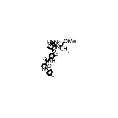 COCCC(C)(C)Nc1n[nH]c2nccc(Oc3ccc(NC(=O)c4ccnn(-c5ccc(F)cc5)c4=O)cc3F)c12